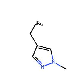 CCC(C)Cc1cnn(C)c1